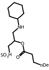 CCCCCCCCCCCCC(=O)OC(CNC1CCCCC1)CS(=O)(=O)O